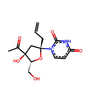 C=CC[C@]1(n2ccc(=O)[nH]c2=O)C[C@@](O)(C(C)=O)[C@@H](CO)O1